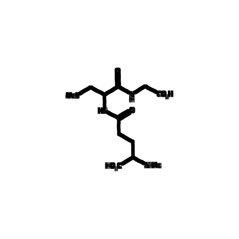 CSCC(NC(=O)CCC(NC(C)=O)C(=O)O)C(=O)NCC(=O)O